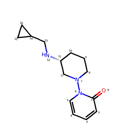 O=c1ccccn1N1CCC[C@@H](NCC2CC2)C1